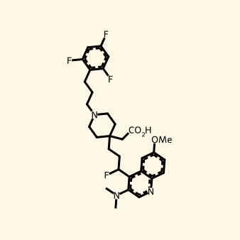 COc1ccc2ncc(N(C)C)c(C(F)CCC3(CC(=O)O)CCN(CCCc4c(F)cc(F)cc4F)CC3)c2c1